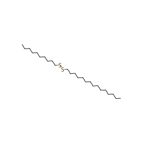 CCCCCCCCCCCCCCCSSCCCCCCCCCC